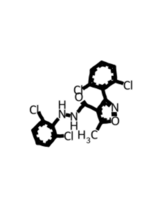 Cc1onc(-c2c(Cl)cccc2Cl)c1C(=O)NNc1c(Cl)cccc1Cl